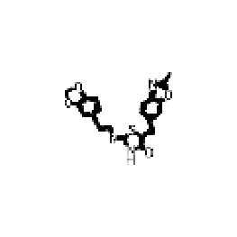 Cc1nc2ccc(/C=C3\S/C(=N\CCc4ccc5c(c4)OCO5)NC3=O)cc2o1